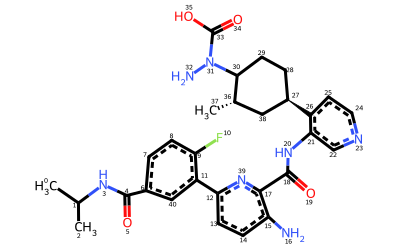 CC(C)NC(=O)c1ccc(F)c(-c2ccc(N)c(C(=O)Nc3cnccc3[C@@H]3CCC(N(N)C(=O)O)[C@@H](C)C3)n2)c1